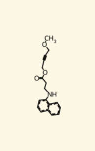 COCC#CCOC(=O)CCNc1cccc2ccccc12